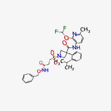 Cc1ccc(NC(=O)C2(c3ccccc3C(C)C)CN(S(=O)(=O)CCC(=O)NOCc3ccccc3)C2)c(OC(F)F)n1